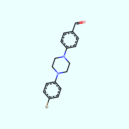 O=Cc1ccc(N2CCN(c3ccc(Br)cc3)CC2)cc1